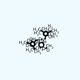 CC(=O)[O-].CC(C)(C)c1cc(C=[N+]2[Cr][N+](=Cc3cc(C(C)(C)C)cc(C(C)(C)C)c3O)[C@@H]3CCCC[C@H]32)c(O)c(C(C)(C)C)c1